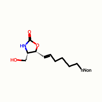 CCCCCCCCCCCCC/C=C/[C@H]1OC(=O)N[C@H]1CO